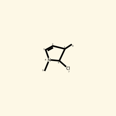 CC1C=CN(C)C1Cl